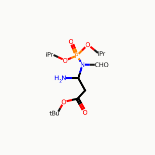 CC(C)OP(=O)(OC(C)C)N(C=O)C(N)CC(=O)OC(C)(C)C